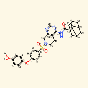 COc1ccc(Oc2ccc(S(=O)(=O)N3CCc4c(ncnc4NC(=O)C45CC6CC(CC(C6)C4)C5)C3)cc2)cc1